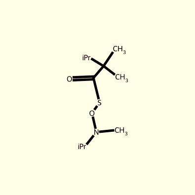 CC(C)N(C)OSC(=O)C(C)(C)C(C)C